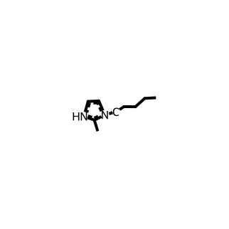 CCCCC[n+]1cc[nH]c1C